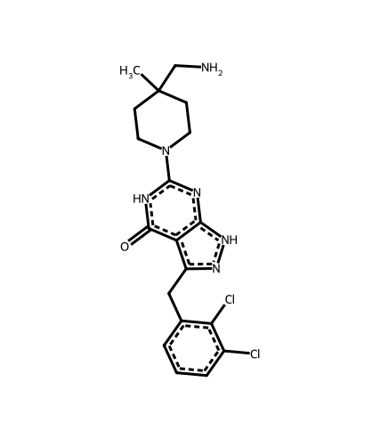 CC1(CN)CCN(c2nc3[nH]nc(Cc4cccc(Cl)c4Cl)c3c(=O)[nH]2)CC1